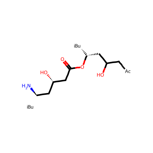 CC[C@@H](C)[C@H](CC(O)CC(C)=O)OC(=O)C[C@@H](O)C[C@H](N)[C@H](C)CC